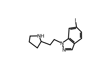 Ic1ccc2cnn(CCC3CCCN3)c2c1